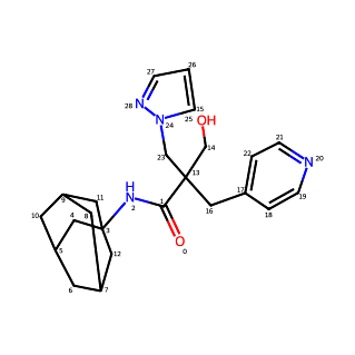 O=C(NC12CC3CC(CC(C3)C1)C2)C(CO)(Cc1ccncc1)Cn1cccn1